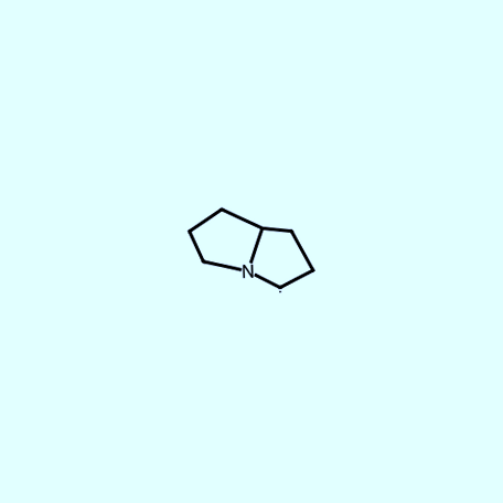 [CH]1CCC2CCCN12